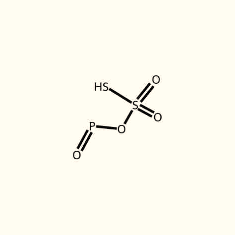 O=POS(=O)(=O)S